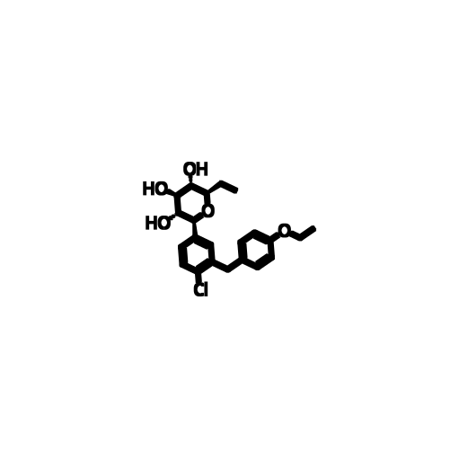 CCOc1ccc(Cc2cc([C@@H]3O[C@H](CC)[C@@H](O)[C@H](O)[C@H]3O)ccc2Cl)cc1